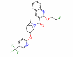 CC1C2CC(Oc3ccc(C(F)(F)F)cn3)C(C2)N1C(=O)c1cc2ccccc2nc1OCCF